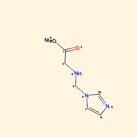 COC(=O)CNCn1ccnc1